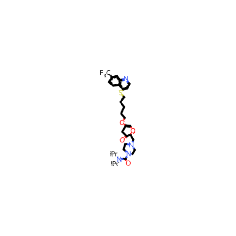 CC(C)N(C(=O)N1CCN(CC2OC=C(OCCCCCSc3ccnc4cc(C(F)(F)F)ccc34)CC2=O)CC1)C(C)C